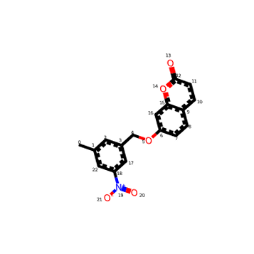 Cc1cc(COc2ccc3ccc(=O)oc3c2)cc([N+](=O)[O-])c1